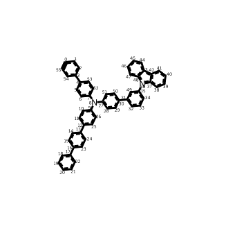 c1ccc(-c2ccc(N(c3ccc(-c4ccc(-c5ccccc5)cc4)cc3)c3ccc(-c4cccc(-n5c6ccccc6c6ccccc65)c4)cc3)cc2)cc#1